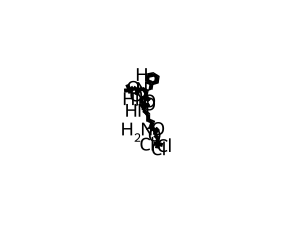 C[C@H](NC(=O)[C@H](Cc1ccccc1)NC(=O)OC(C)(C)C)C(=O)NCCC[C@H](N)C(=O)OCC(Cl)(Cl)Cl